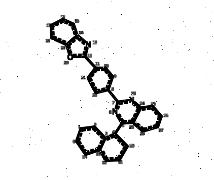 c1ccc2c(-c3nc(-c4ccc(-c5nc6ccccc6o5)cc4)nc4ccccc34)cccc2c1